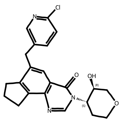 O=c1c2cc(Cc3ccc(Cl)nc3)c3c(c2ncn1[C@H]1CCOC[C@@H]1O)CCC3